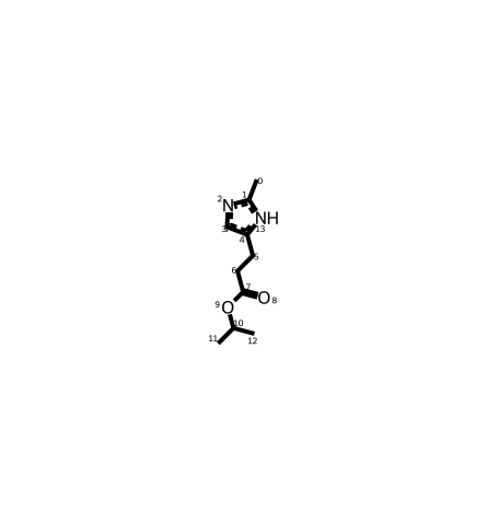 Cc1n[c]c(CCC(=O)OC(C)C)[nH]1